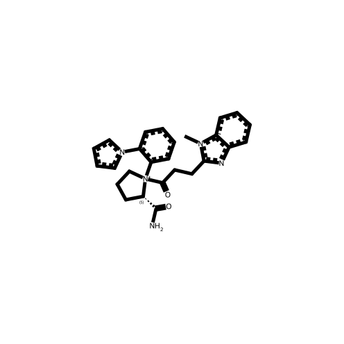 Cn1c(CCC(=O)[N+]2(c3ccccc3-n3cccc3)CCC[C@H]2C(N)=O)nc2ccccc21